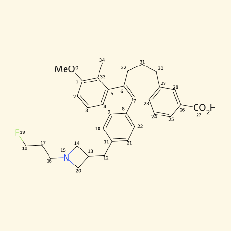 COc1cccc(C2=C(c3ccc(CC4CN(CCCF)C4)cc3)c3ccc(C(=O)O)cc3CCC2)c1C